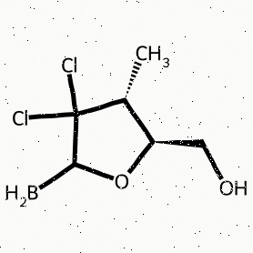 BC1O[C@H](CO)[C@@H](C)C1(Cl)Cl